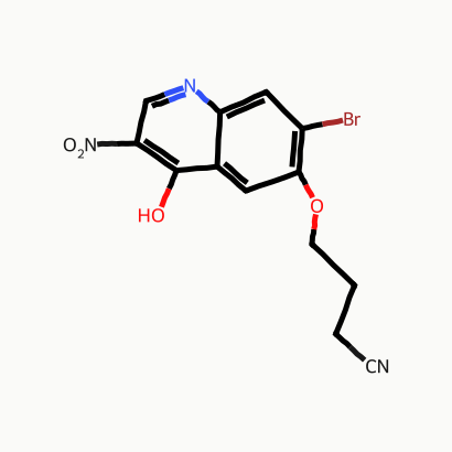 N#CCCCOc1cc2c(O)c([N+](=O)[O-])cnc2cc1Br